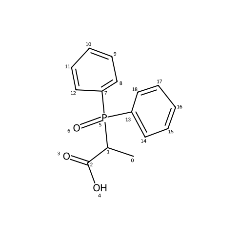 CC(C(=O)O)P(=O)(c1ccccc1)c1ccccc1